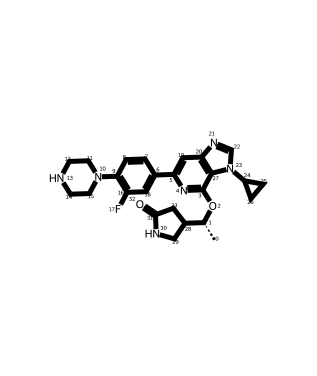 C[C@@H](Oc1nc(-c2ccc(N3CCNCC3)c(F)c2)cc2ncn(C3CC3)c12)C1CNC(=O)C1